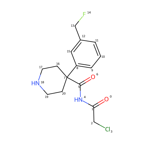 O=C(CCl)NC(=O)C1(c2cccc(CF)c2)CCNCC1